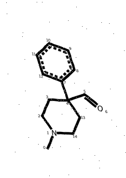 CN1CCC(C=O)(c2ccccc2)CC1